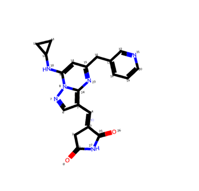 O=C1C/C(=C\c2cnn3c(NC4CC4)cc(Cc4cccnc4)nc23)C(=O)N1